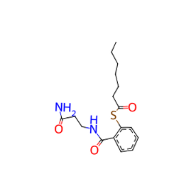 CCCCCCC(=O)Sc1ccccc1C(=O)NCCC(N)=O